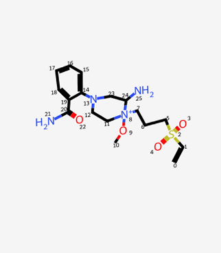 C=CS(=O)(=O)CCC[N+]1(OC)CCN(c2ccccc2C(N)=O)CC1N